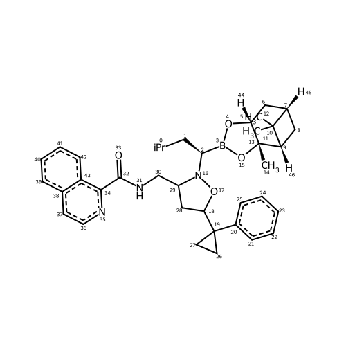 CC(C)C[C@@H](B1O[C@@H]2C[C@@H]3C[C@@H](C3(C)C)[C@]2(C)O1)N1OC(C2(c3ccccc3)CC2)CC1CNC(=O)c1nccc2ccccc12